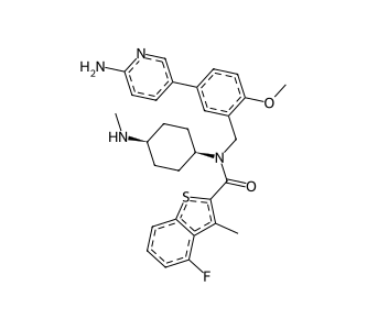 CN[C@H]1CC[C@@H](N(Cc2cc(-c3ccc(N)nc3)ccc2OC)C(=O)c2sc3cccc(F)c3c2C)CC1